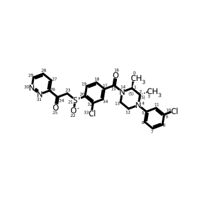 C[C@H]1[C@H](C)N(c2cccc(Cl)c2)CCN1C(=O)c1ccc([S+]([O-])CC(=O)c2cccnn2)c(Cl)c1